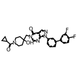 O=C(C1CC1)N1CCC(O)(Cn2cnc3c(cnn3-c3cccc(-c4ccc(F)c(F)c4)c3)c2=O)CC1